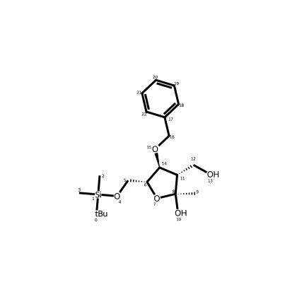 CC(C)(C)[Si](C)(C)OC[C@H]1O[C@](C)(O)[C@@H](CO)[C@@H]1OCc1ccccc1